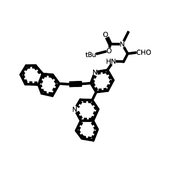 CN(C(=O)OC(C)(C)C)C(C=O)CNc1ccc(-c2cnc3ccccc3c2)c(C#Cc2ccc3ccccc3c2)n1